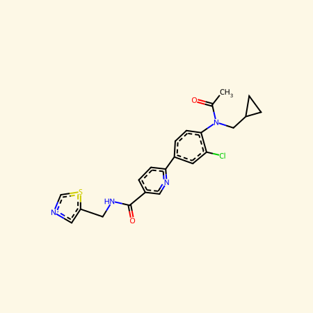 CC(=O)N(CC1CC1)c1ccc(-c2ccc(C(=O)NCc3cncs3)cn2)cc1Cl